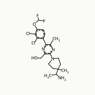 Cc1nc(N2CCC(C)(C(C)N)CC2)c(CO)nc1-c1ccc(OC(F)F)c(Cl)c1Cl